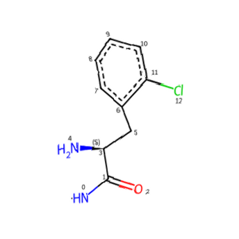 [NH]C(=O)[C@@H](N)Cc1ccccc1Cl